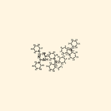 C1=Cc2ccc(-c3cccc4c3c3ccccc3n4-c3ccccc3)cc2N(c2cccc(C3=NC(c4ccccc4)=NC(c4ccccc4)N3)c2)c2ccccc21